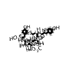 CSCC[C@H](NC(=O)[C@@H](N)Cc1ccc(O)cc1)C(=O)N[C@@H](CS)C(=O)N[C@H](CC(=O)O)C(=O)N[C@H](C(=O)N[C@H](Cc1ccc(O)cc1)C(=O)O)C(C)C